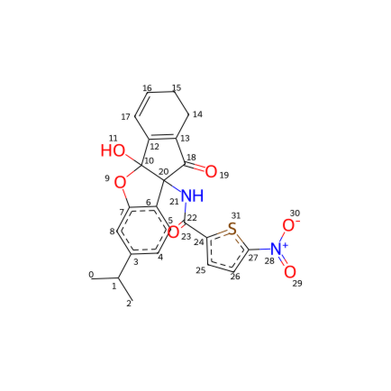 CC(C)c1ccc2c(c1)OC1(O)C3=C(CCC=C3)C(=O)C21NC(=O)c1ccc([N+](=O)[O-])s1